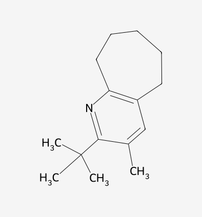 Cc1cc2c(nc1C(C)(C)C)CCCCC2